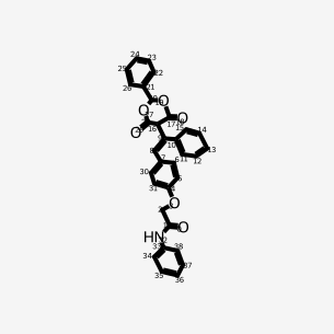 O=C(COc1ccc(C=C(c2ccccc2)C2C(=O)OC(c3ccccc3)OC2=O)cc1)Nc1ccccc1